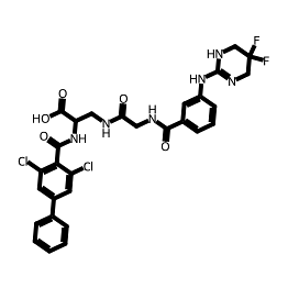 O=C(CNC(=O)c1cccc(NC2=NCC(F)(F)CN2)c1)NCC(NC(=O)c1c(Cl)cc(-c2ccccc2)cc1Cl)C(=O)O